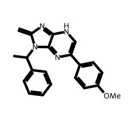 C=c1nc2c(n1C(C)c1ccccc1)=NC(c1ccc(OC)cc1)=CN2